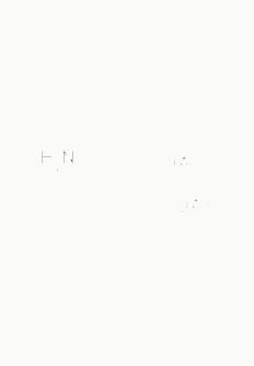 CC(=O)Oc1ccc(CCN)cc1OC(C)=O